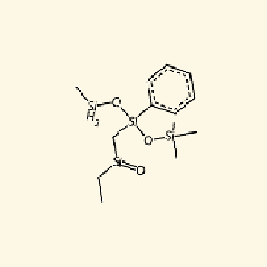 CC[Si](=O)C[Si](O[SiH2]C)(O[Si](C)(C)C)c1ccccc1